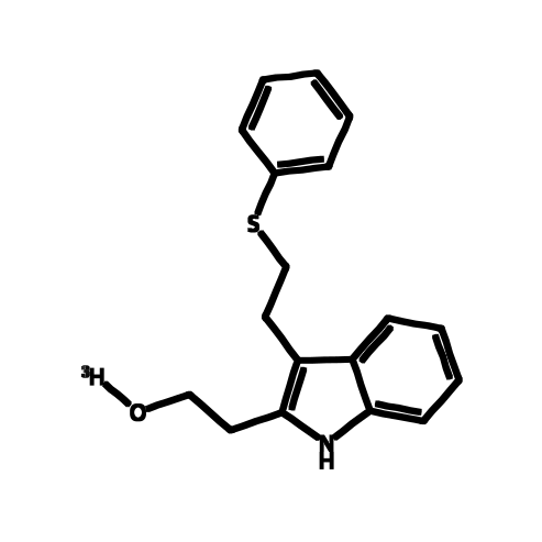 [3H]OCCc1[nH]c2ccccc2c1CCSc1ccccc1